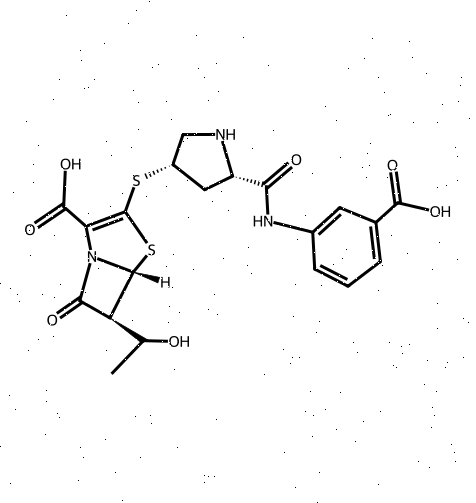 CC(O)[C@H]1C(=O)N2C(C(=O)O)=C(S[C@@H]3CN[C@H](C(=O)Nc4cccc(C(=O)O)c4)C3)S[C@H]12